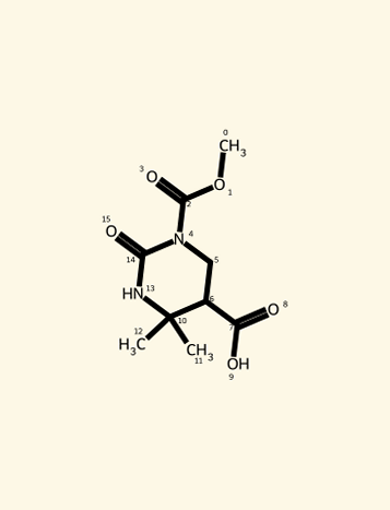 COC(=O)N1CC(C(=O)O)C(C)(C)NC1=O